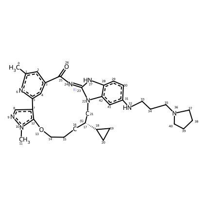 Cc1cc2cc(n1)-c1cnn(C)c1OCCC[C@@H](C1CC1)CN1/C(=N/C2=O)Nc2ccc(NCCCN3CCCC3)cc21